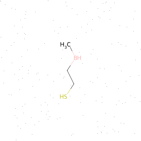 CBCCS